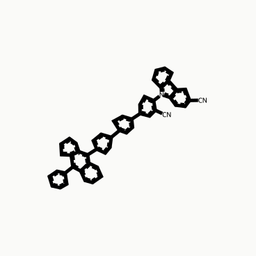 N#Cc1ccc2c(c1)c1ccccc1n2-c1ccc(-c2ccc(-c3ccc(-c4c5ccccc5c(-c5ccccc5)c5ccccc45)cc3)cc2)cc1C#N